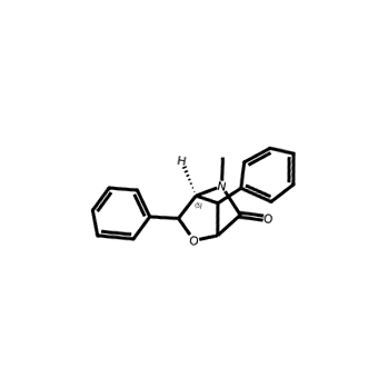 CN1C(=O)C2OC(c3ccccc3)[C@@H]1C2c1ccccc1